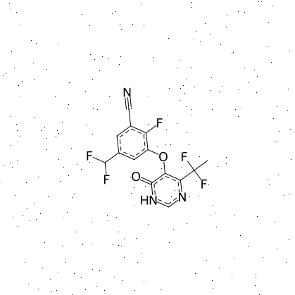 CC(F)(F)c1nc[nH]c(=O)c1Oc1cc(C(F)F)cc(C#N)c1F